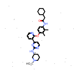 Cc1c(NC(=O)CC2CCCCC2)ccc(Oc2ncccc2-c2ccnc(N[C@H]3CCCN(C(=O)O)C3)n2)c1C